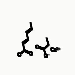 C/C=C/C=C/C(=O)[O-].CCC(=O)[O-].[Ca+2]